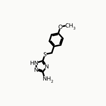 COc1ccc(CSc2nc(N)n[nH]2)cc1